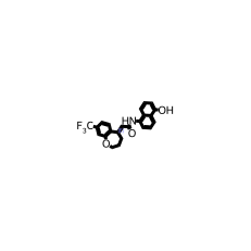 O=C(/C=C1\CCCOc2cc(C(F)(F)F)ccc21)Nc1cccc2c(O)cccc12